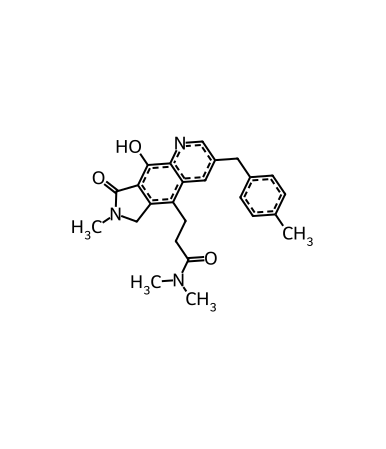 Cc1ccc(Cc2cnc3c(O)c4c(c(CCC(=O)N(C)C)c3c2)CN(C)C4=O)cc1